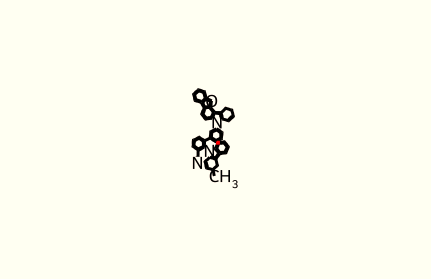 CC1C=Cc2c(c3ccccc3n2-c2c(C#N)cccc2-c2cccc(-n3c4c(c5c6oc7ccccc7c6ccc53)CCC=C4)c2)C1